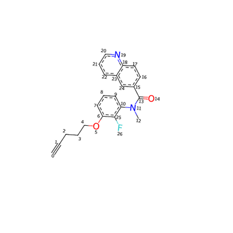 C#CCCCOc1cccc(N(C)C(=O)c2ccc3ncccc3c2)c1F